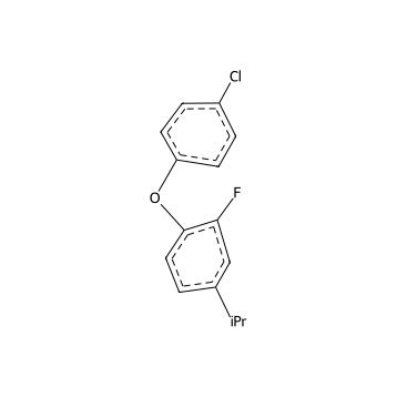 CC(C)c1ccc(Oc2ccc(Cl)cc2)c(F)c1